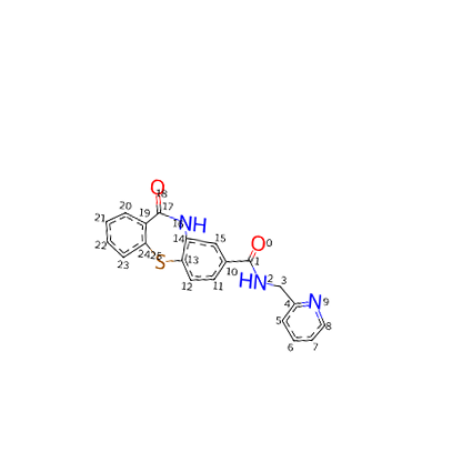 O=C(NCc1ccccn1)c1ccc2c(c1)NC(=O)c1ccccc1S2